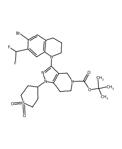 CC(C)(C)OC(=O)N1CCc2c(c(N3CCCc4cc(Br)c(C(F)F)cc43)nn2C2CCS(=O)(=O)CC2)C1